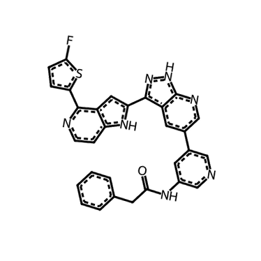 O=C(Cc1ccccc1)Nc1cncc(-c2cnc3[nH]nc(-c4cc5c(-c6ccc(F)s6)nccc5[nH]4)c3c2)c1